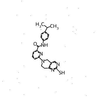 CC(C)c1ccc(NC(=O)c2cccc(N3CCc4nc(S)ncc4C3)n2)cc1